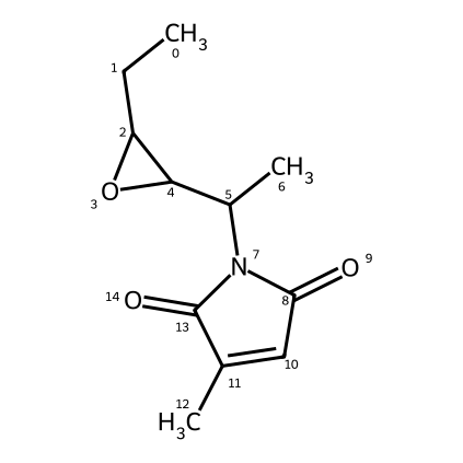 CCC1OC1C(C)N1C(=O)C=C(C)C1=O